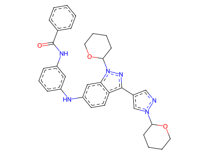 O=C(Nc1cccc(Nc2ccc3c(-c4cnn(C5CCCCO5)c4)nn(C4CCCCO4)c3c2)c1)c1ccccc1